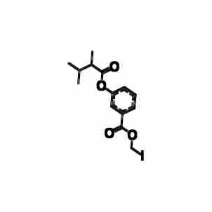 CC(C)C(C)C(=O)Oc1cccc(C(=O)OCI)c1